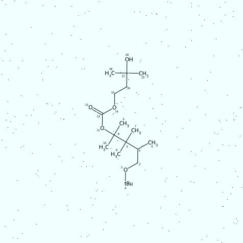 CC(COC(C)(C)C)C(C)(C)C(C)(C)OC(=O)OCCC(C)(C)O